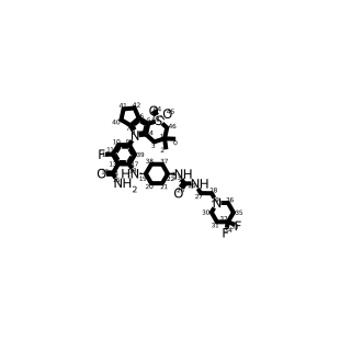 CC1(C)Cc2c(c3c(n2-c2cc(F)c(C(N)=O)c(N[C@H]4CC[C@H](NC(=O)NCCN5CCC(F)(F)CC5)CC4)c2)CCC3)S(=O)(=O)C1